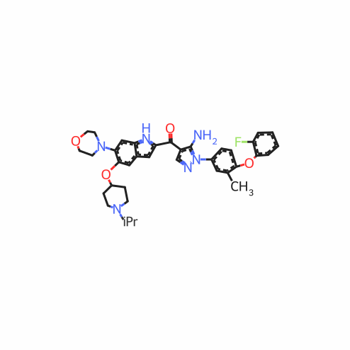 Cc1cc(-n2ncc(C(=O)c3cc4cc(OC5CCN(C(C)C)CC5)c(N5CCOCC5)cc4[nH]3)c2N)ccc1Oc1ccccc1F